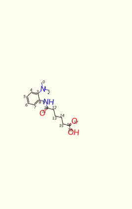 CN(C)c1ccccc1NC(=O)CCCCC(=O)O